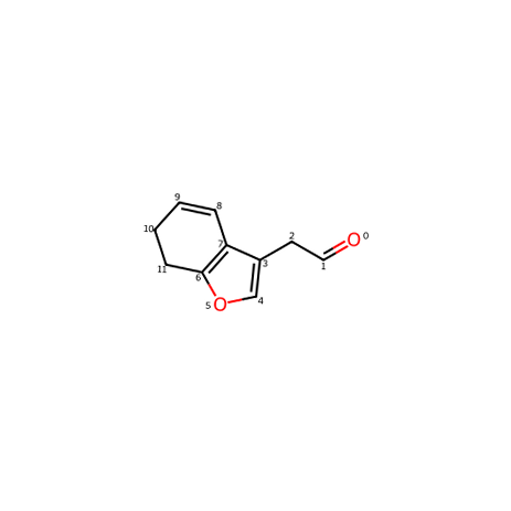 O=CCc1coc2c1C=CCC2